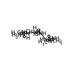 Cc1cc2nc3cc(C)c(NCCCCCCNC(=O)C45CC6CC(C4)CC(C(=O)NCCCCCCNc4cc7c(cc4C)nc4cc(C)c(N)cc4[n+]7-c4ccccc4)(C6)C5)cc3[n+](-c3ccccc3)c2cc1N